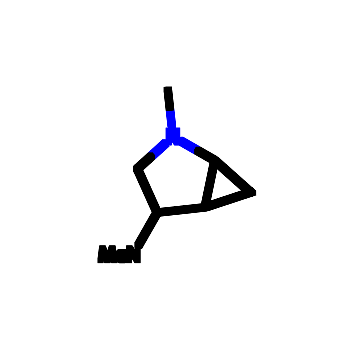 CNC1CN(C)C2CC12